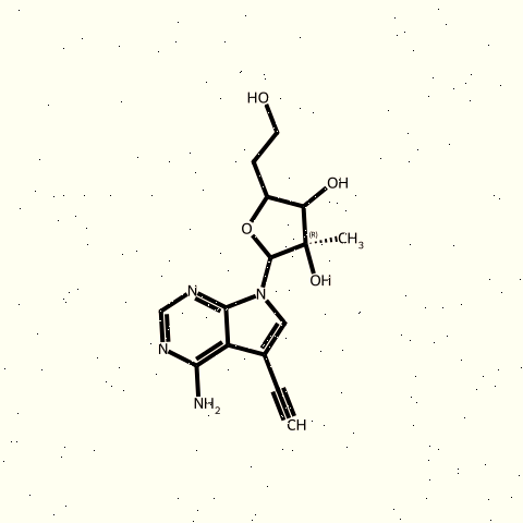 C#Cc1cn(C2OC(CCO)C(O)[C@@]2(C)O)c2ncnc(N)c12